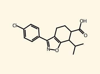 CC(C)C1c2onc(-c3ccc(Cl)cc3)c2CCC1C(=O)O